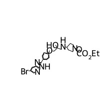 CCOC(=O)ON1CCC(NCC(O)COc2ccc(-c3nc4cc(Br)cnc4[nH]3)cc2)CC1